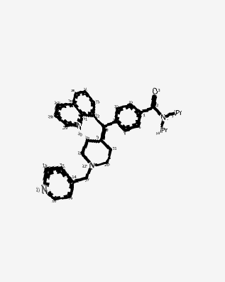 CC(C)N(C(=O)c1ccc(C(=C2CCN(Cc3ccncc3)CC2)c2cccc3cccnc23)cc1)C(C)C